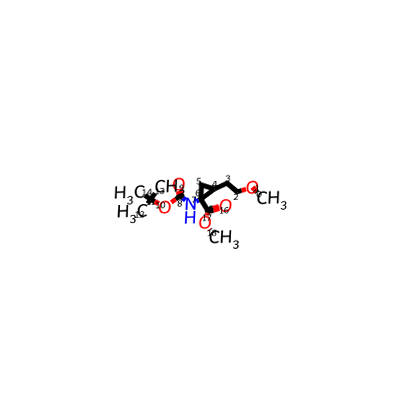 COCCC1CC1(NC(=O)OC(C)(C)C)C(=O)OC